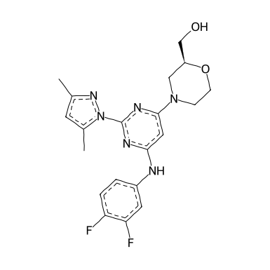 Cc1cc(C)n(-c2nc(Nc3ccc(F)c(F)c3)cc(N3CCO[C@H](CO)C3)n2)n1